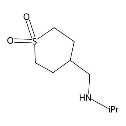 CC(C)NCC1CCS(=O)(=O)CC1